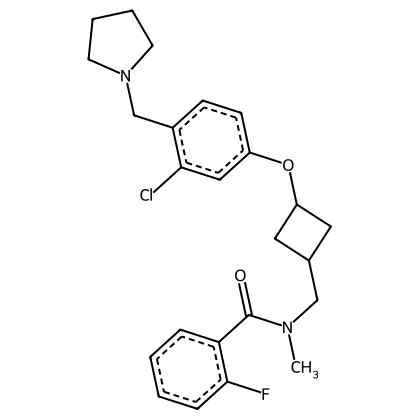 CN(CC1CC(Oc2ccc(CN3CCCC3)c(Cl)c2)C1)C(=O)c1ccccc1F